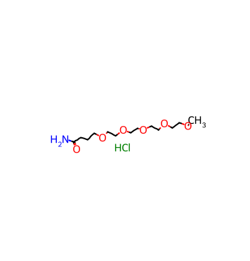 COCCOCCOCCOCCOCCCC(N)=O.Cl